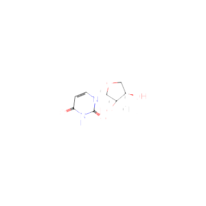 C[C@@]1(O)[C@H](O)CO[C@H]1n1ccc(=O)[nH]c1=O